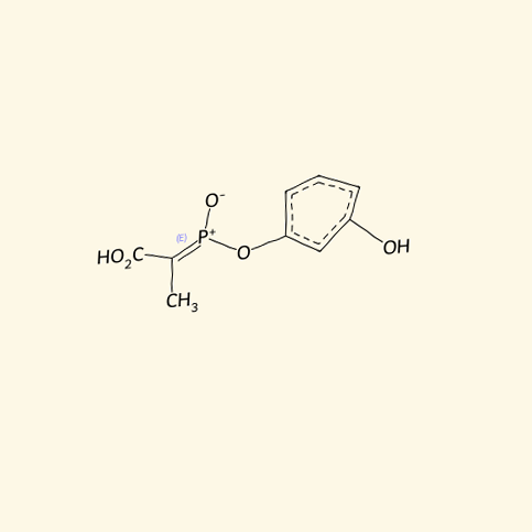 C/C(C(=O)O)=[P+](/[O-])Oc1cccc(O)c1